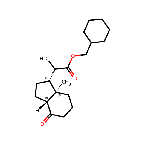 CC(C(=O)OCC1CCCCC1)[C@H]1CC[C@H]2C(=O)CCC[C@]12C